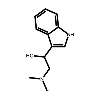 [CH2]N(C)CC(O)c1c[nH]c2ccccc12